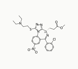 CCN(CC)CCSc1nnc2n1-c1ccc([N+](=O)[O-])cc1C(c1ccccc1Cl)=N[C@H]2CCC(=O)OC